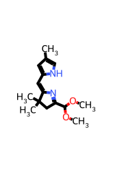 COC(OC)C1=N/C(=C\c2cc(C)c[nH]2)C(C)(C)C1